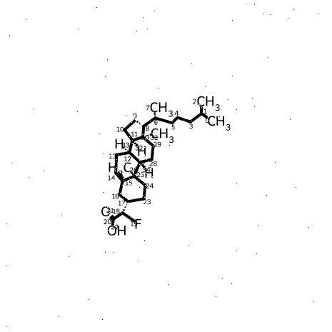 CC(C)CCC[C@@H](C)[C@H]1CC[C@H]2[C@@H]3CC=C4C[C@@H](C(F)C(=O)O)CC[C@]4(C)[C@H]3CC[C@]12C